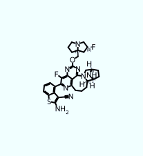 N#Cc1c(N)sc2cccc(-c3nc4c5c(nc(OC[C@@]67CCCN6C[C@H](F)C7)nc5c3F)N3C[C@H]5CC[C@H](N5)[C@H]3CCC4)c12